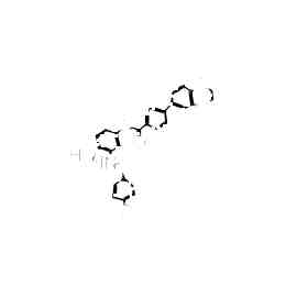 O=C(Nc1ccc(O)c(NSc2ccc(F)cc2)c1)c1ccc(-c2ccc3c(c2)OCCO3)cc1